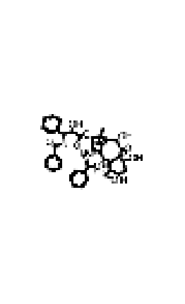 CC1=C2[C@@H](O)C(=O)[C@@]3(C)[C@H]([C@H](OC(=O)c4ccccc4)[C@](O)(C[C@@H]1OC(=O)[C@H](O)[C@@H](NC(=O)c1ccccc1)c1ccccc1)C2(C)C)[C@]1(O)CO[C@@H]1C[C@@H]3O